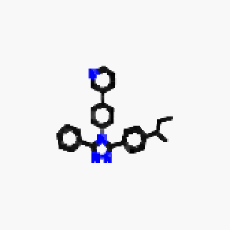 CCC(C)c1ccc(-c2nnc(-c3ccccc3)n2-c2ccc(-c3cccnc3)cc2)cc1